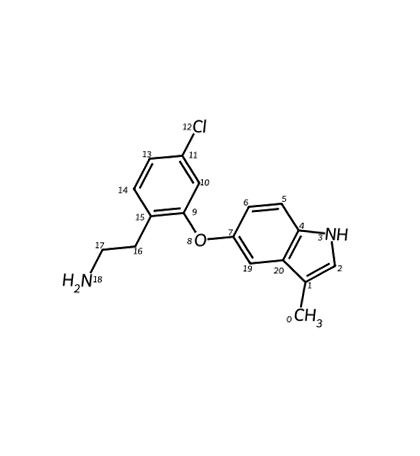 Cc1c[nH]c2ccc(Oc3cc(Cl)ccc3CCN)cc12